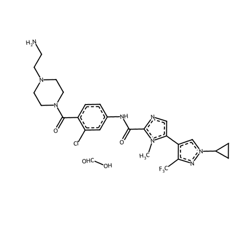 Cn1c(-c2cn(C3CC3)nc2C(F)(F)F)cnc1C(=O)Nc1ccc(C(=O)N2CCN(CCN)CC2)c(Cl)c1.O=CO